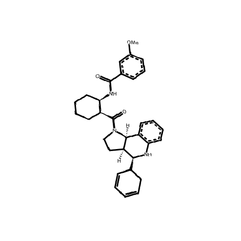 COc1cccc(C(=O)N[C@@H]2CCCC[C@@H]2C(=O)N2CC[C@@H]3[C@H](C4C=CC=CC4)Nc4ccccc4[C@@H]32)c1